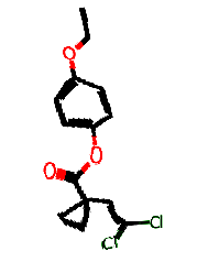 CCOc1ccc(OC(=O)C2(C=C(Cl)Cl)CC2)cc1